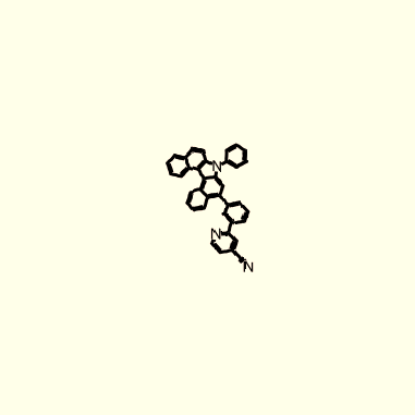 N#Cc1ccnc(-c2cccc(-c3cc4c(c5ccccc35)c3c5ccccc5ccc3n4-c3ccccc3)c2)c1